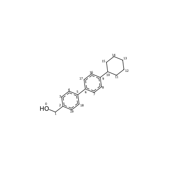 OCc1ccc(-c2ccc(C3CCCCC3)cc2)cc1